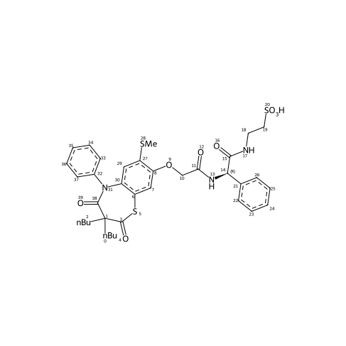 CCCCC1(CCCC)C(=O)Sc2cc(OCC(=O)N[C@@H](C(=O)NCCS(=O)(=O)O)c3ccccc3)c(SC)cc2N(c2ccccc2)C1=O